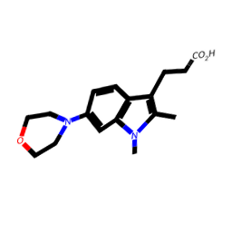 Cc1c(CCC(=O)O)c2ccc(N3CCOCC3)cc2n1C